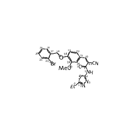 CCc1nnc(NC(=O)C(C#N)=Cc2ccc(OCc3ccccc3Br)c(OC)c2)s1